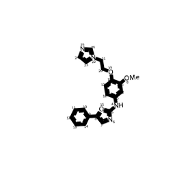 COc1cc(Nc2ncc(-c3ccccc3)o2)ccc1OCCn1ccnc1